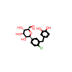 OC[C@H]1O[C@@H](c2ccc(Cl)c(Cc3ccc(O)c(O)c3)c2)[C@H](O)[C@@H](O)[C@@H]1O